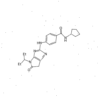 CCC(CC)N1C(=O)Cc2cnc(Nc3ccc(C(=O)NC4CCCC4)cc3)nc21